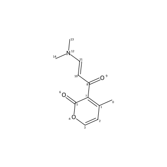 Cc1ccoc(=O)c1C(=O)/C=C/N(C)C